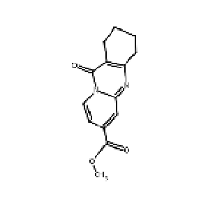 COC(=O)c1ccn2c(=O)c3c(nc2c1)CCCC3